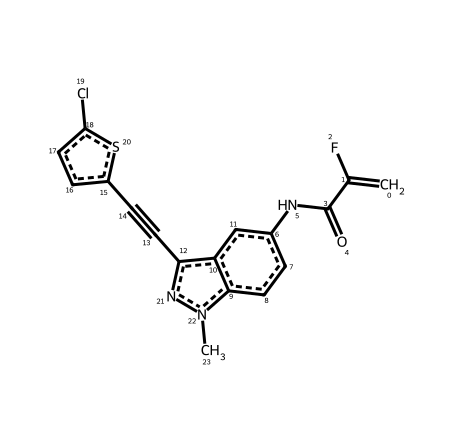 C=C(F)C(=O)Nc1ccc2c(c1)c(C#Cc1ccc(Cl)s1)nn2C